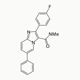 CNC(=O)c1c(-c2ccc(F)cc2)nc2ccc(-c3ccccc3)cn12